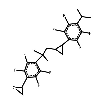 CC(C)c1c(F)c(F)c(C2CC2CC(C)(C)c2c(F)c(F)c(C3CO3)c(F)c2F)c(F)c1F